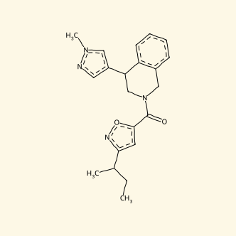 CCC(C)c1cc(C(=O)N2Cc3ccccc3C(c3cnn(C)c3)C2)on1